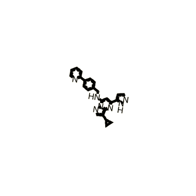 c1ccc(-c2ccc(CNc3cc(-c4ccn[nH]4)nc4c(C5CC5)cnn34)cc2)nc1